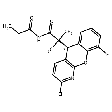 CCC(=O)NC(=O)C(C)(C)[C@@H]1c2ccc(Cl)nc2Oc2c(F)cccc21